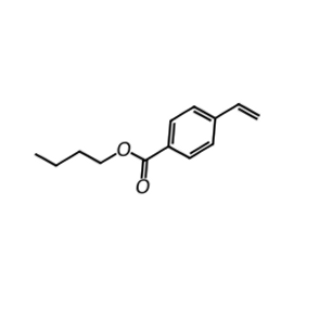 C=Cc1ccc(C(=O)OCCCC)cc1